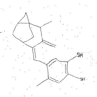 C=C1/C(=C\c2cc(S)c(S)cc2C)C2CC3CC3(C2)C1C